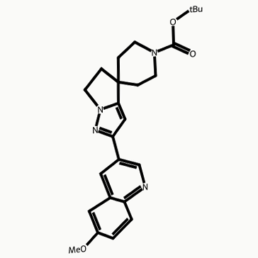 COc1ccc2ncc(-c3cc4n(n3)CCC43CCN(C(=O)OC(C)(C)C)CC3)cc2c1